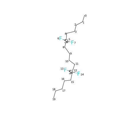 CCCCC[Si](F)(F)CCCC[Si](F)(F)CCCCC